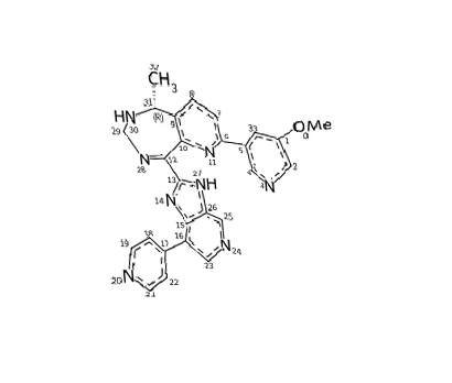 COc1cncc(-c2ccc3c(n2)C(c2nc4c(-c5ccncc5)cncc4[nH]2)=NCN[C@@H]3C)c1